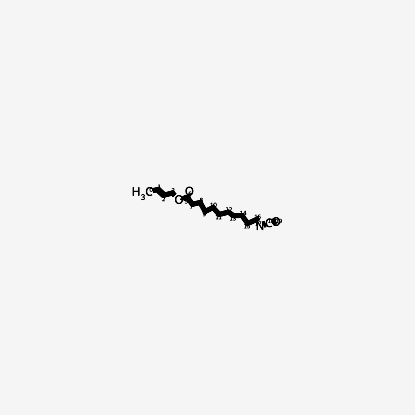 CC=CCOC(=O)CCCCCCCCCCN=C=O